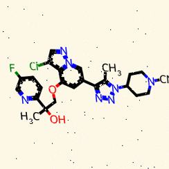 Cc1c(-c2cc(OCC(C)(O)c3ccc(F)cn3)c3c(Cl)cnn3c2)nnn1C1CCN(C#N)CC1